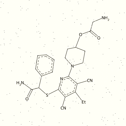 CCc1c(C#N)c(SC(C(N)=O)c2ccccc2)nc(N2CCC(OC(=O)CN)CC2)c1C#N